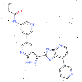 CC(C)CC(=O)Nc1cncc(-c2cnc3[nH]nc(-c4nc5c(-c6cccnc6)ccnc5[nH]4)c3c2)c1